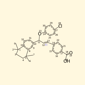 CC1(C)CCC(C)(C)c2cc(C(/C=C/c3ccc(C(=O)O)cc3)Oc3ccc(Cl)cc3)ccc21